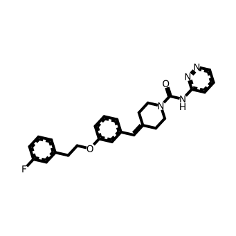 O=C(Nc1cccnn1)N1CCC(=Cc2cccc(OCCc3cccc(F)c3)c2)CC1